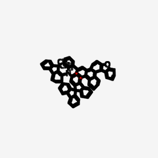 CC1(C)c2ccccc2-c2cccc(N(c3ccc4c(c3)C3(c5ccccc5-c5ccccc53)c3ccccc3-4)c3ccccc3-c3ccc4c5ccccc5c5c(ccc6oc7ccccc7c65)c4c3)c21